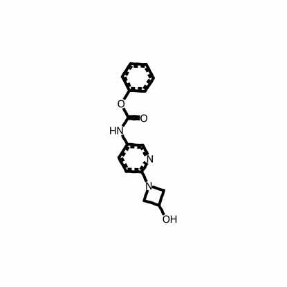 O=C(Nc1ccc(N2CC(O)C2)nc1)Oc1ccccc1